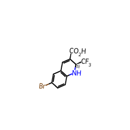 O=C(O)C1=Cc2cc(Br)ccc2N[C@@H]1C(F)(F)F